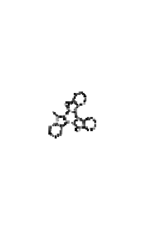 Cn1c2ccccc2c2c3oc4ccccc4c3c3c4ccccc4oc3c21